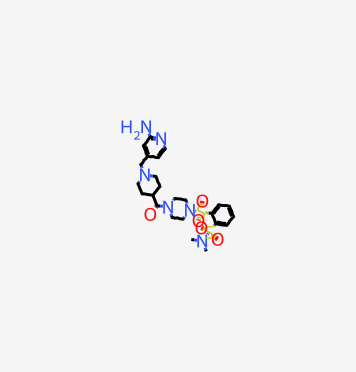 CN(C)S(=O)(=O)c1ccccc1S(=O)(=O)N1CCN(C(=O)C2CCN(Cc3ccnc(N)c3)CC2)CC1